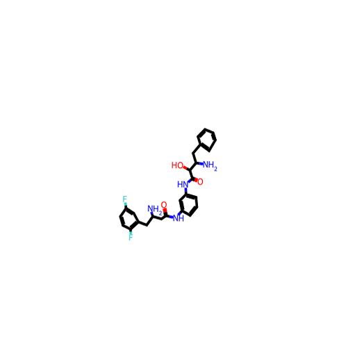 NC(CC(=O)Nc1cccc(NC(=O)C(O)C(N)Cc2ccccc2)c1)Cc1cc(F)ccc1F